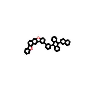 c1cc(-c2ccc3oc4cc5ccc6c7ccccc7oc6c5cc4c3c2)cc(-c2c3ccccc3c(-c3ccc4ccccc4c3)c3ccccc23)c1